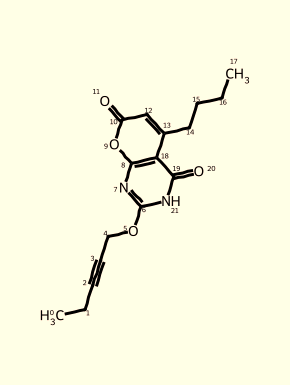 CCC#CCOc1nc2oc(=O)cc(CCCC)c2c(=O)[nH]1